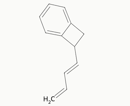 C=CC=CC1Cc2ccccc21